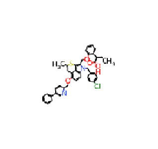 CCC(C(=O)O)c1ccccc1OCc1c2c3c(c(OCc4ccc(-c5ccccc5)cn4)ccc3n1Cc1ccc(Cl)cc1)CC(C)S2